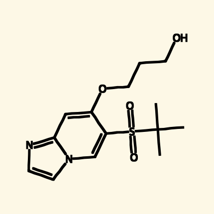 CC(C)(C)S(=O)(=O)c1cn2ccnc2cc1OCCCO